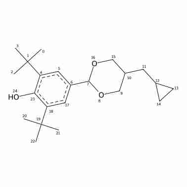 CC(C)(C)c1cc(C2OCC(CC3CC3)CO2)cc(C(C)(C)C)c1O